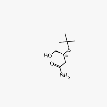 CC(C)(C)S[C@H](CO)CC(N)=O